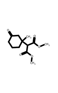 COC(=O)C(C(=O)OC)C1(C)CCCC(=O)C1